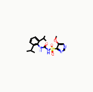 COc1cncnc1S(=O)(=O)NC(=O)Nc1c(C(C)C)cccc1C(C)C